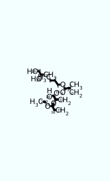 C=C(C)C(=O)OCCCC.C=CC(=O)O.C=CC(=O)OCC.CC(O)CO